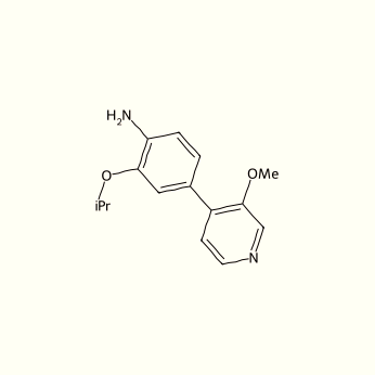 COc1cnccc1-c1ccc(N)c(OC(C)C)c1